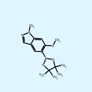 COc1cc2c(cnn2C)cc1B1OC(C)(C)C(C)(C)O1